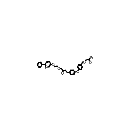 CC(C)C(=O)COCc1ccc(Oc2ccc(CCC(=O)COCCOc3ccc(-c4ccccc4)nc3)cc2)cc1